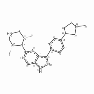 C[C@@H]1CNC[C@H](C)N1c1ncc2[nH]nc(-c3ccc(C4CCN(C)C4)cc3)c2n1